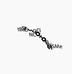 CSc1nccc(COc2ccc(C(C)(C)c3cc(Cl)c(OCCCCO[Si](C)(C)C(C)(C)C)c(C#N)c3)cc2)n1